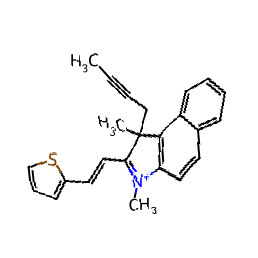 CC#CCC1(C)C(/C=C/c2cccs2)=[N+](C)c2ccc3ccccc3c21